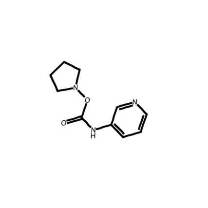 O=C(Nc1cccnc1)ON1CCCC1